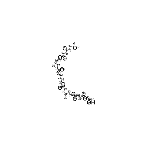 COC(C)CCC(=O)/C=C/C(=O)OCCC(C)CCC(=O)OCCCCOC(=O)CCC(C)CCOC(=O)/C=C/C(=O)OCC(C)O